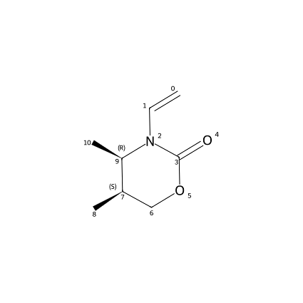 C=CN1C(=O)OC[C@@H](C)[C@H]1C